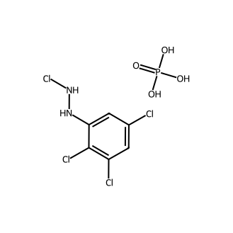 ClNNc1cc(Cl)cc(Cl)c1Cl.O=P(O)(O)O